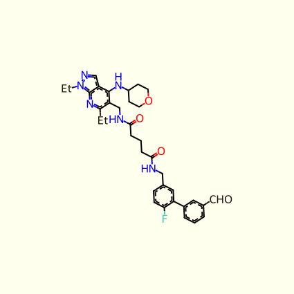 CCc1nc2c(cnn2CC)c(NC2CCOCC2)c1CNC(=O)CCCC(=O)NCc1ccc(F)c(-c2cccc(C=O)c2)c1